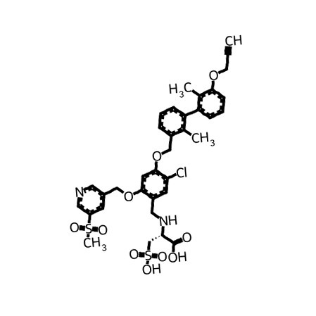 C#CCOc1cccc(-c2cccc(COc3cc(OCc4cncc(S(C)(=O)=O)c4)c(CN[C@@H](CS(=O)(=O)O)C(=O)O)cc3Cl)c2C)c1C